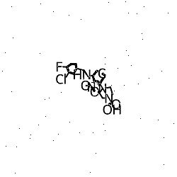 O=C(O)N1CCN(c2cccc(NCc3ccc(F)c(Cl)c3)c2[N+](=O)[O-])CC1